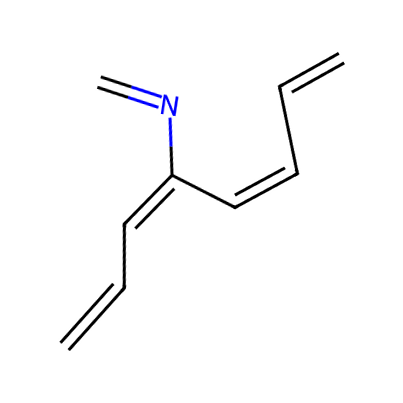 C=C/C=C\C(=C/C=C)N=C